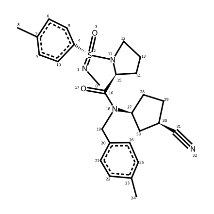 CN=[S@](=O)(c1ccc(C)cc1)N1CCC[C@H]1C(=O)N(Cc1ccc(C)cc1)[C@H]1CC[C@@H](C#N)C1